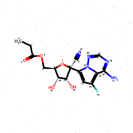 CCC(=O)OC[C@H]1O[C@@](C#N)(c2cc(F)c3c(N)ncnn23)[C@H](O)[C@@H]1O